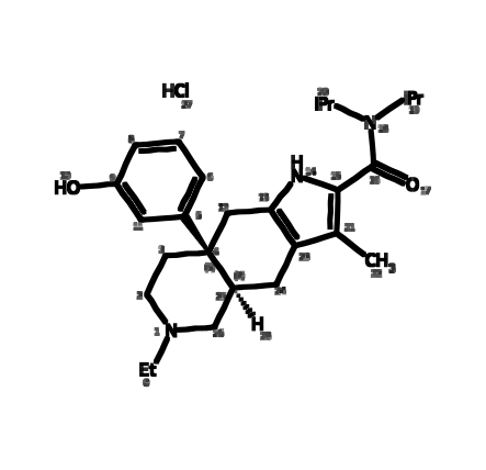 CCN1CC[C@]2(c3cccc(O)c3)Cc3[nH]c(C(=O)N(C(C)C)C(C)C)c(C)c3C[C@H]2C1.Cl